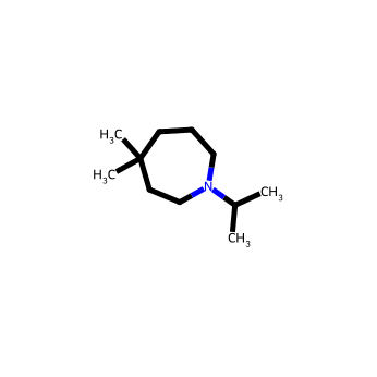 CC(C)N1CCCC(C)(C)CC1